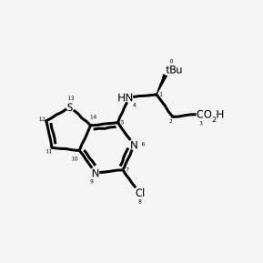 CC(C)(C)[C@@H](CC(=O)O)Nc1nc(Cl)nc2ccsc12